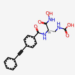 O=C(O)NC[C@H](NC(=O)c1ccc(C#Cc2ccccc2)cc1)C(=O)NO